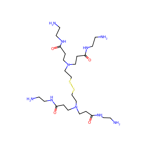 NCCNC(=O)CCN(CCSSCCN(CCC(=O)NCCN)CCC(=O)NCCN)CCC(=O)NCCN